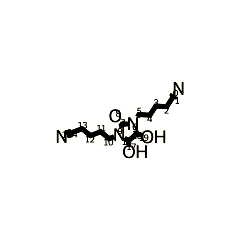 N#CCCCCN1C(=O)N(CCCCC#N)C(O)C1O